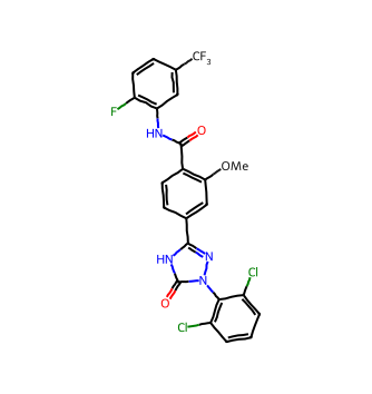 COc1cc(-c2nn(-c3c(Cl)cccc3Cl)c(=O)[nH]2)ccc1C(=O)Nc1cc(C(F)(F)F)ccc1F